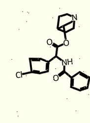 O=C(NC(C(=O)OC1CN2CCC1CC2)c1ccc(Cl)cc1)c1ccccc1